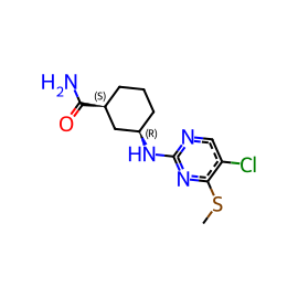 CSc1nc(N[C@@H]2CCC[C@H](C(N)=O)C2)ncc1Cl